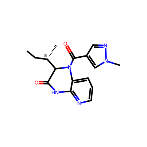 CC[C@H](C)C1C(=O)Nc2ncccc2N1C(=O)c1cnn(C)c1